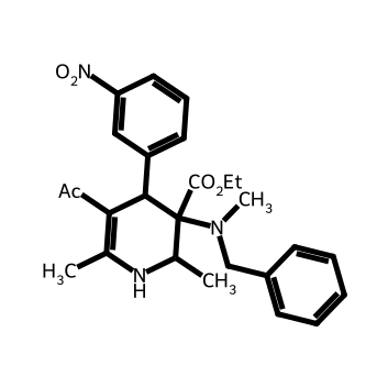 CCOC(=O)C1(N(C)Cc2ccccc2)C(C)NC(C)=C(C(C)=O)C1c1cccc([N+](=O)[O-])c1